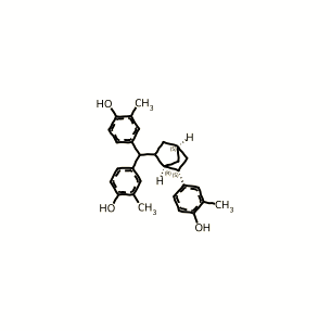 Cc1cc(C(c2ccc(O)c(C)c2)C2C[C@H]3C[C@H](c4ccc(O)c(C)c4)[C@@H]2C3)ccc1O